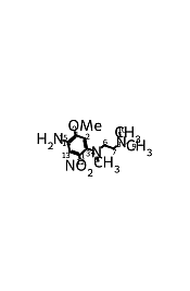 COc1cc(N(C)CCN(C)C)c([N+](=O)[O-])cc1N